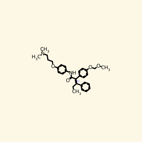 CC/C(=C(\C(=O)Nc1ccc(OCCCN(C)C)cc1)c1ccc(OCOC)cc1)c1ccccc1